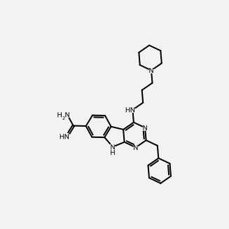 N=C(N)c1ccc2c(c1)[nH]c1nc(Cc3ccccc3)nc(NCCCN3CCCCC3)c12